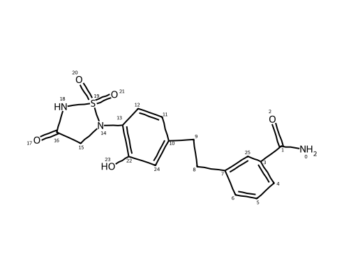 NC(=O)c1cccc(CCc2ccc(N3CC(=O)NS3(=O)=O)c(O)c2)c1